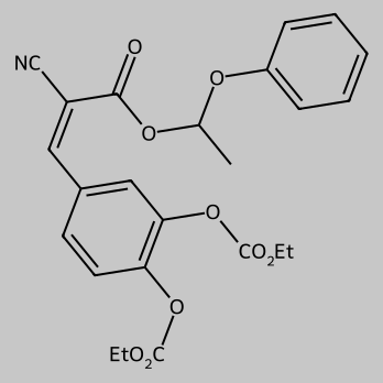 CCOC(=O)Oc1ccc(C=C(C#N)C(=O)OC(C)Oc2ccccc2)cc1OC(=O)OCC